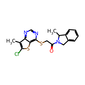 Cc1c(Cl)sc2c(SCC(=O)N3Cc4ccccc4C3C)ncnc12